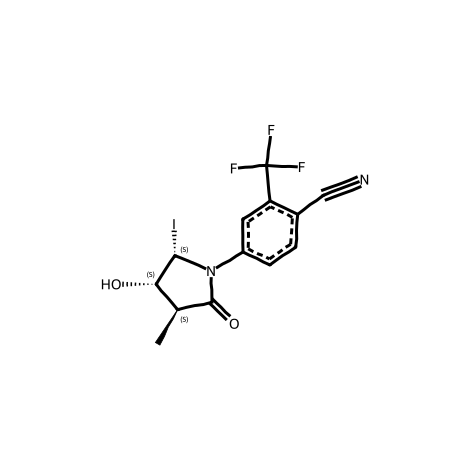 C[C@@H]1C(=O)N(c2ccc(C#N)c(C(F)(F)F)c2)[C@@H](I)[C@H]1O